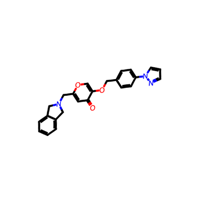 O=c1cc(CN2Cc3ccccc3C2)occ1OCc1ccc(-n2cccn2)cc1